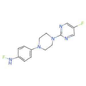 FNc1ccc(N2CCN(c3ncc(F)cn3)CC2)cc1